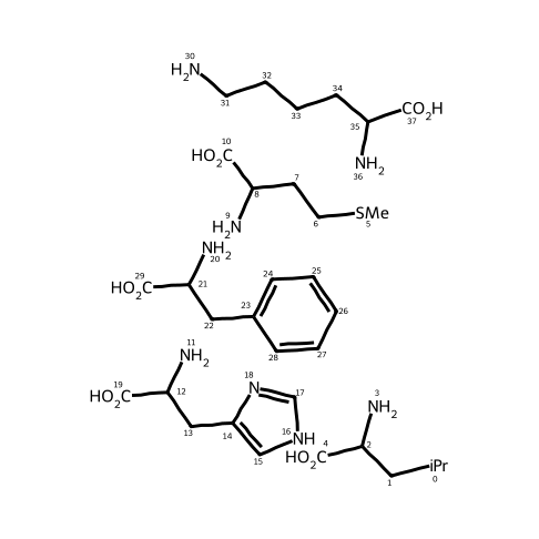 CC(C)CC(N)C(=O)O.CSCCC(N)C(=O)O.NC(Cc1c[nH]cn1)C(=O)O.NC(Cc1ccccc1)C(=O)O.NCCCCC(N)C(=O)O